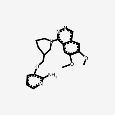 COc1cc2cnnc(N3CCCC(COc4cccnc4N)C3)c2cc1OC